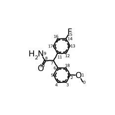 COc1cccc(C(C(N)=O)c2ccc(F)cc2)c1